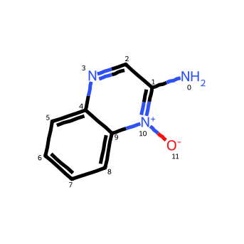 Nc1cnc2ccccc2[n+]1[O-]